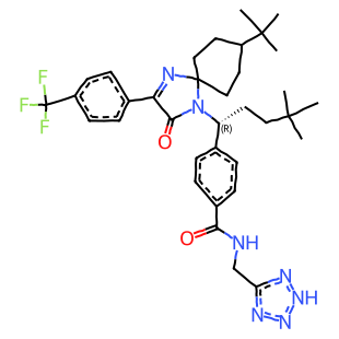 CC(C)(C)CC[C@H](c1ccc(C(=O)NCc2nn[nH]n2)cc1)N1C(=O)C(c2ccc(C(F)(F)F)cc2)=NC12CCC(C(C)(C)C)CC2